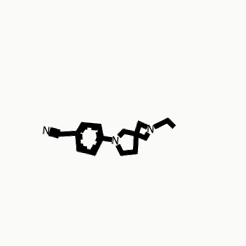 CCN1CC2(CCN(c3ccc(C#N)cc3)C2)C1